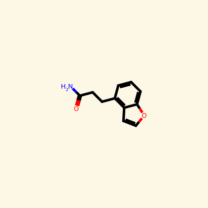 NC(=O)CCc1cccc2occc12